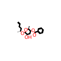 C=CCC[C@@H](C)O[C@@H]1O[C@@H](C)[C@H](OC(=O)c2ccccc2)C[C@@H]1O